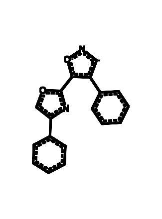 [c]1noc(-c2nc(-c3ccccc3)co2)c1-c1ccccc1